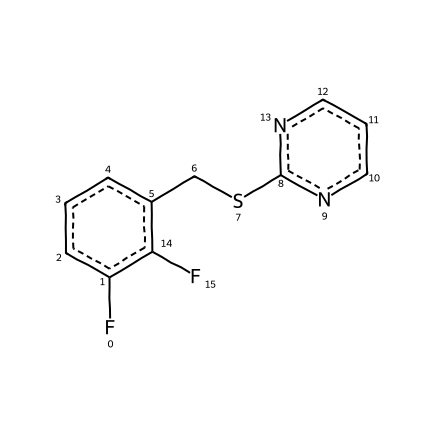 Fc1cccc(CSc2ncccn2)c1F